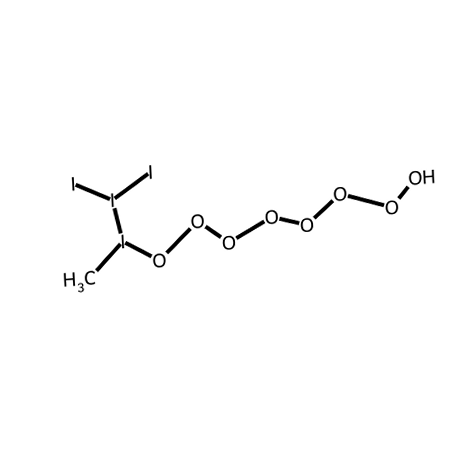 CI(OOOOOOOO)I(I)I